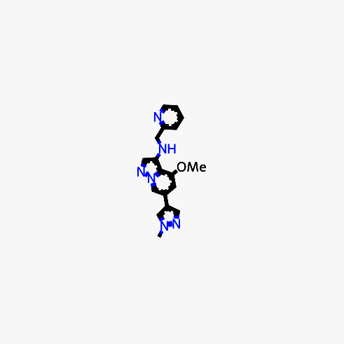 COc1cc(-c2cnn(C)c2)cn2ncc(NCc3ccccn3)c12